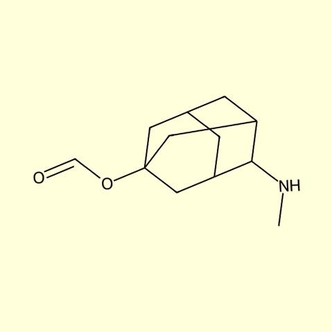 CNC1C2CC3CC1CC(OC=O)(C3)C2